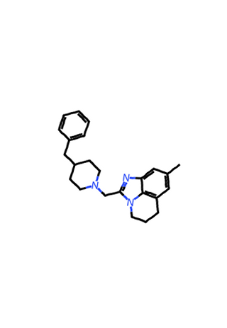 Cc1cc2c3c(c1)nc(CN1CCC(Cc4ccccc4)CC1)n3CCC2